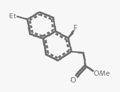 CCc1ccc2c(F)c(CC(=O)OC)ccc2c1